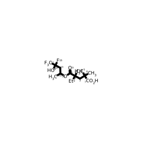 CCC(C)(CC(C)(C)C(=O)O)C(=O)OC(C)CC(O)(F)C(F)(F)F